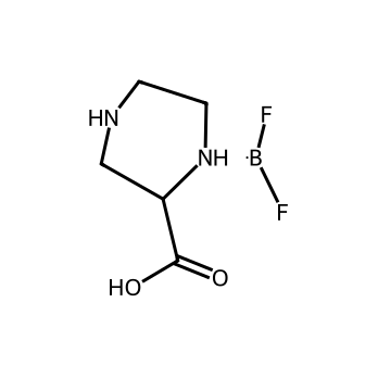 F[B]F.O=C(O)C1CNCCN1